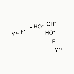 [F-].[F-].[F-].[OH-].[OH-].[OH-].[Y+3].[Y+3]